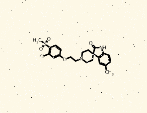 Cc1ccc2c(c1)C1(CCN(CCOc3ccc(S(C)(=O)=O)c(Cl)c3)CC1)C(=O)N2